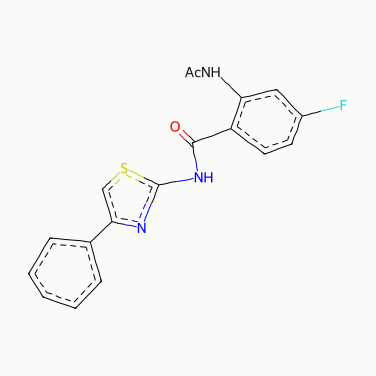 CC(=O)Nc1cc(F)ccc1C(=O)Nc1nc(-c2ccccc2)cs1